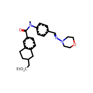 CCOC(=O)CC1CCc2cc(C(=O)N(C)c3ccc(C=NN4CCOCC4)cc3)ccc2C1